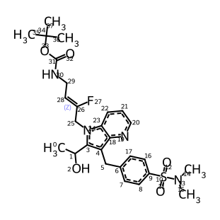 CC(O)c1c(Cc2ccc(S(=O)(=O)N(C)C)cc2)c2ncccc2n1C/C(F)=C/CNC(=O)OC(C)(C)C